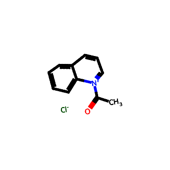 CC(=O)[n+]1cccc2ccccc21.[Cl-]